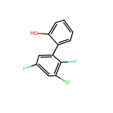 Oc1ccccc1-c1cc(F)cc(Cl)c1F